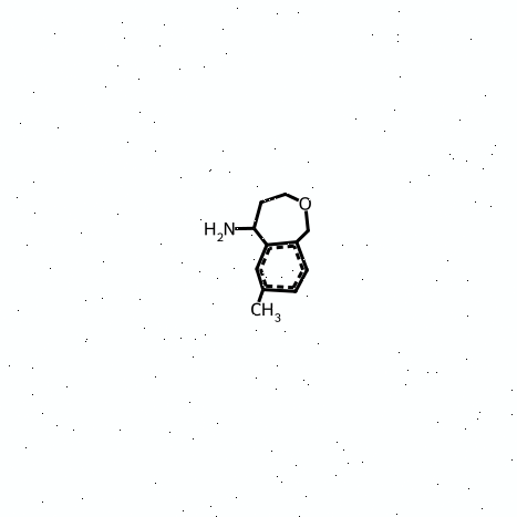 Cc1ccc2c(c1)C(N)CCOC2